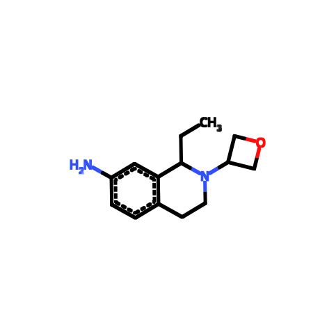 CCC1c2cc(N)ccc2CCN1C1COC1